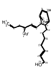 C=CCC(O)C=CC1C2CCC(O2)C1CCCCC=CCO